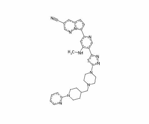 CNc1cc(-c2ccc3cc(C#N)cnn23)ncc1-c1nnc(N2CCN(CC3CCN(c4ccccn4)CC3)CC2)s1